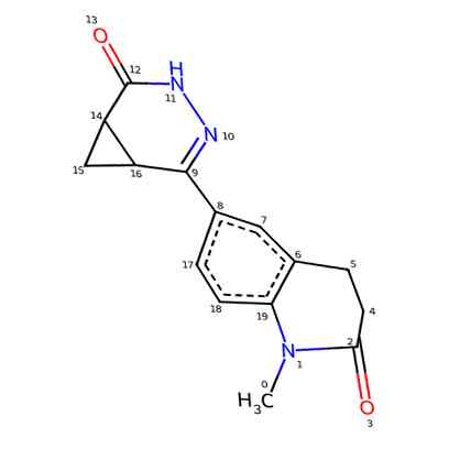 CN1C(=O)CCc2cc(C3=NNC(=O)C4CC34)ccc21